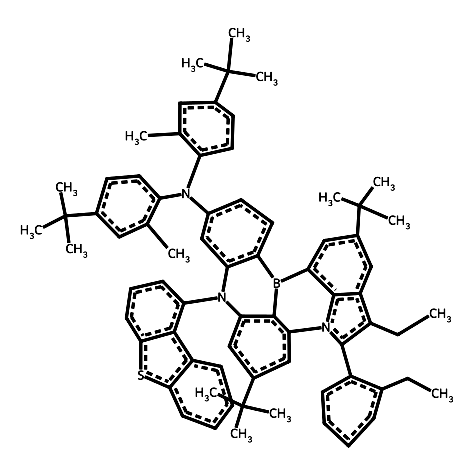 CCc1ccccc1-c1c(CC)c2cc(C(C)(C)C)cc3c2n1-c1cc(C(C)(C)C)cc2c1B3c1ccc(N(c3ccc(C(C)(C)C)cc3C)c3ccc(C(C)(C)C)cc3C)cc1N2c1cccc2sc3ccccc3c12